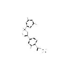 Cc1cc(C2=NOC(c3cc(Cl)cc(Cl)c3)(C(F)(F)F)C2)ccc1C(=O)N=S(C)(=O)C(C)(C)C